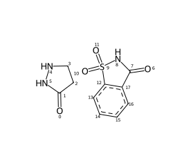 O=C1CCNN1.O=C1NS(=O)(=O)c2ccccc21